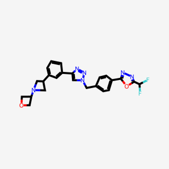 FC(F)c1nnc(-c2ccc(Cn3cc(-c4cccc(C5CN(C6COC6)C5)c4)nn3)cc2)o1